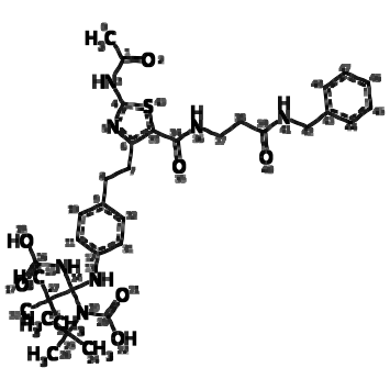 CC(=O)Nc1nc(CCc2ccc(NC(NC(=O)O)(N(C(=O)O)C(C)(C)C)C(C)(C)C)cc2)c(C(=O)NCCC(=O)NCc2ccccc2)s1